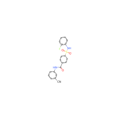 N#Cc1cccc(NC(=O)c2ccc(S(=O)(=O)Nc3ccccc3F)cc2)c1